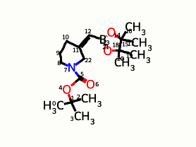 CC(C)(C)OC(=O)N1CCCC(=CB2OC(C)(C)C(C)(C)O2)C1